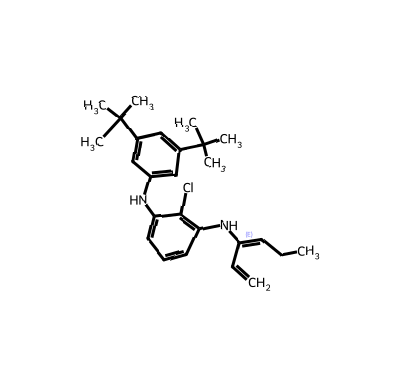 C=C/C(=C\CC)Nc1cccc(Nc2cc(C(C)(C)C)cc(C(C)(C)C)c2)c1Cl